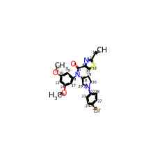 C#Cc1nc(C(=O)N(c2cc(OC)cc(OC)c2)[C@@H]2CCN(c3ccc(Br)cc3)C2)cs1